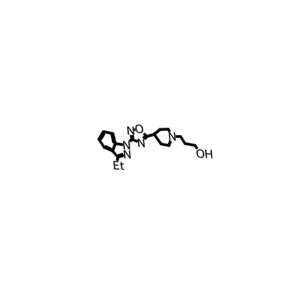 CCc1nn(-c2noc(C3CCN(CCCO)CC3)n2)c2ccccc12